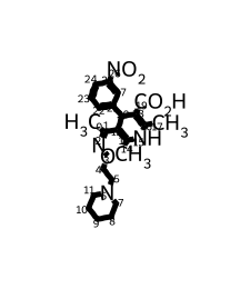 CC(=NOCCN1CCCCC1)C1=C(C)NC(C)=C(C(=O)O)C1c1cccc([N+](=O)[O-])c1